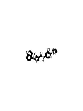 O=C(Nc1cnc(-n2nccn2)c(Cl)c1)c1cnn(-c2cccc3occc23)c1C(F)(F)F